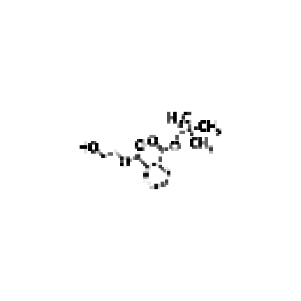 CC(C)(C)COC(=O)c1ccccc1C(=O)OCCO